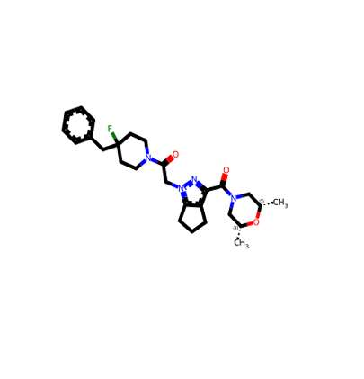 C[C@@H]1CN(C(=O)c2nn(CC(=O)N3CCC(F)(Cc4ccccc4)CC3)c3c2CCC3)C[C@H](C)O1